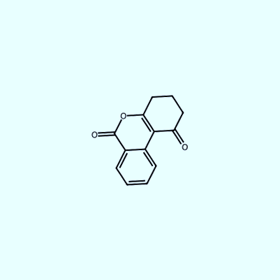 O=C1CCCc2oc(=O)c3ccccc3c21